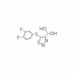 OC(O)c1nnsc1Sc1ccc(F)c(F)c1